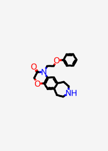 O=C1COc2cc3c(cc2N1CCOc1ccccc1)CCNCC3